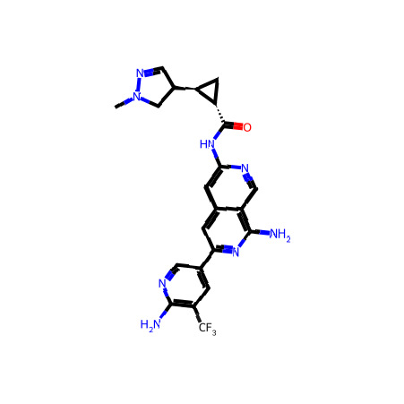 CN1CC([C@H]2C[C@@H]2C(=O)Nc2cc3cc(-c4cnc(N)c(C(F)(F)F)c4)nc(N)c3cn2)C=N1